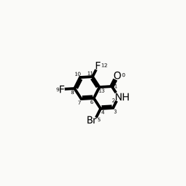 O=c1[nH]cc(Br)c2cc(F)cc(F)c12